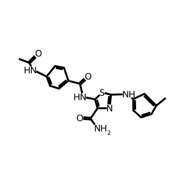 CC(=O)Nc1ccc(C(=O)Nc2sc(Nc3cccc(C)c3)nc2C(N)=O)cc1